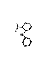 CC(=O)C1C=CC=CC1Nc1ccccc1